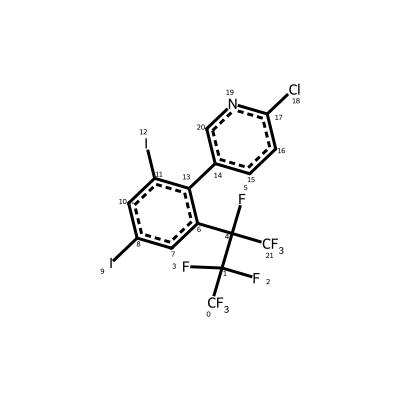 FC(F)(F)C(F)(F)C(F)(c1cc(I)[c]c(I)c1-c1ccc(Cl)nc1)C(F)(F)F